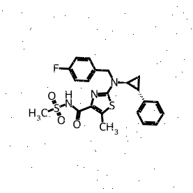 Cc1sc(N(Cc2ccc(F)cc2)[C@H]2C[C@@H]2c2ccccc2)nc1C(=O)NS(C)(=O)=O